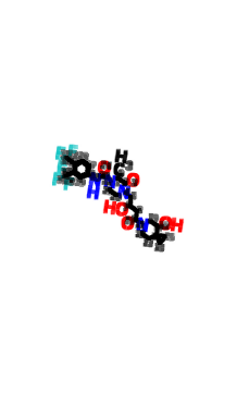 C[C@H]1C(=O)N(C[C@H](O)CC(=O)N2CCC3(CC3)[C@H](O)C2)CCN1C(=O)Nc1ccc(C(F)(F)F)c(C(F)(F)F)c1